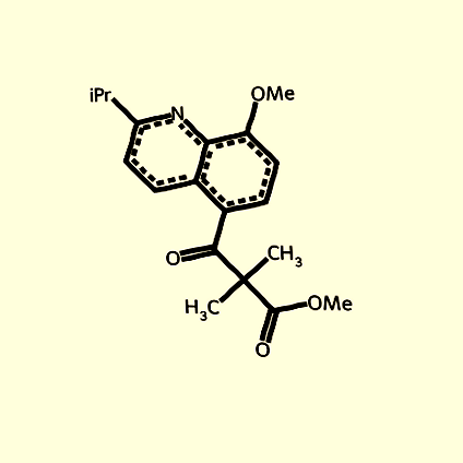 COC(=O)C(C)(C)C(=O)c1ccc(OC)c2nc(C(C)C)ccc12